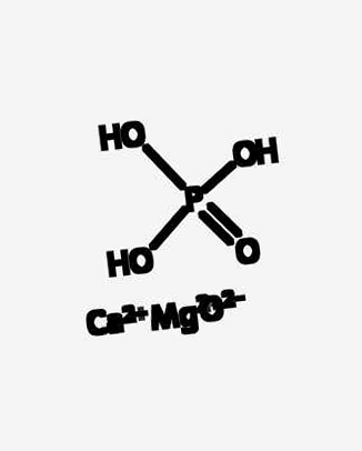 O=P(O)(O)O.[Ca+2].[Mg+2].[O-2]